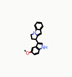 COc1ccc2[nH]cc(C3CCn4c3cc3ccccc34)c2c1